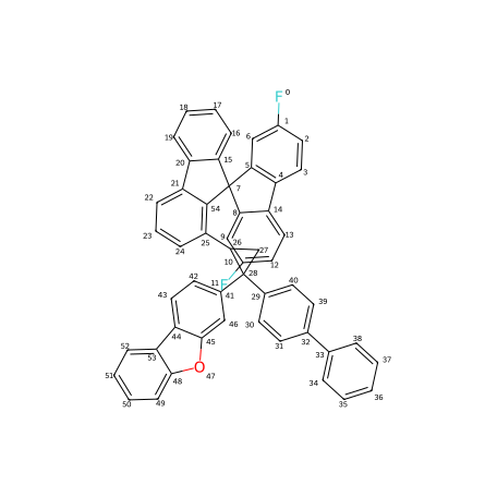 Fc1ccc2c(c1)C1(c3cc(F)ccc3-2)c2ccccc2-c2cccc(C3CC3(c3ccc(-c4ccccc4)cc3)c3ccc4c(c3)oc3ccccc34)c21